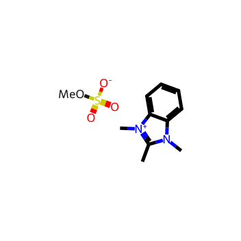 COS(=O)(=O)[O-].Cc1n(C)c2ccccc2[n+]1C